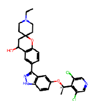 CCN1CCC2(CC1)CC(O)c1cc(-c3n[nH]c4ccc(O[C@H](C)c5c(Cl)cncc5Cl)cc34)ccc1O2